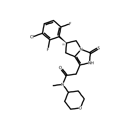 CN(C(=O)Cc1[nH]c(=S)n2c1C[C@@H](c1c(F)ccc(Cl)c1F)C2)C1CCOCC1